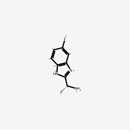 C[C@@H](N)c1nc2cc(F)ccc2[nH]1